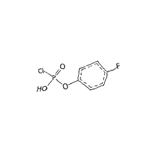 O=P(O)(Cl)Oc1ccc(F)cc1